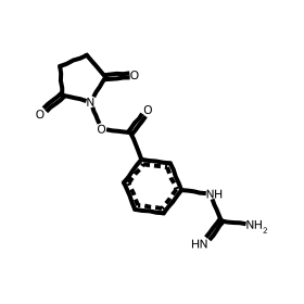 N=C(N)Nc1cccc(C(=O)ON2C(=O)CCC2=O)c1